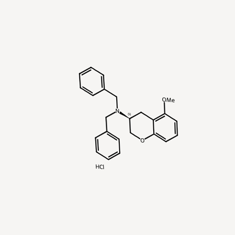 COc1cccc2c1C[C@H](N(Cc1ccccc1)Cc1ccccc1)CO2.Cl